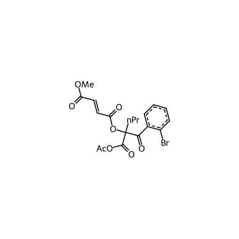 CCCC(OC(=O)C=CC(=O)OC)(C(=O)OC(C)=O)C(=O)c1ccccc1Br